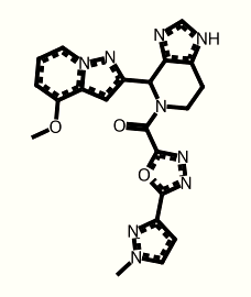 COc1cccn2nc(C3c4nc[nH]c4CCN3C(=O)c3nnc(-c4ccn(C)n4)o3)cc12